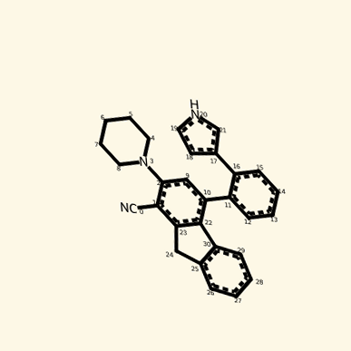 N#Cc1c(N2CCCCC2)cc(-c2ccccc2-c2cc[nH]c2)c2c1Cc1ccccc1-2